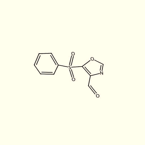 O=Cc1ncoc1S(=O)(=O)c1ccccc1